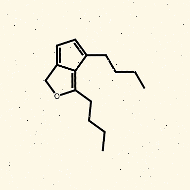 CCCCC1=CC=C2[CH]OC(CCCC)=C21